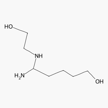 NC(CCCCO)NCCO